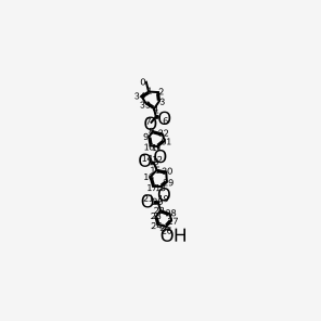 Cc1ccc(C(=O)Oc2ccc(OC(=O)c3ccc(OC(=O)c4ccc(O)cc4)cc3)cc2)cc1